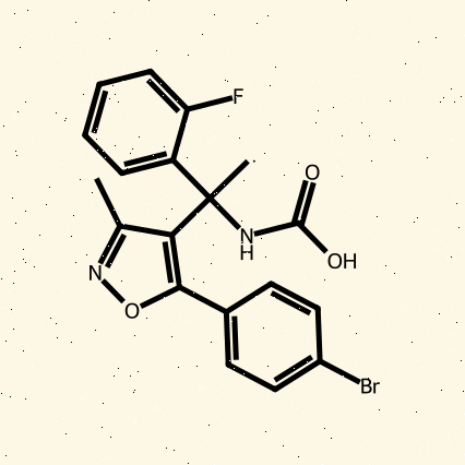 [CH2]C(NC(=O)O)(c1ccccc1F)c1c(C)noc1-c1ccc(Br)cc1